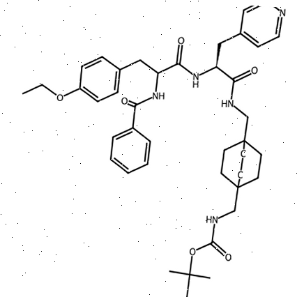 CCOc1ccc(CC(NC(=O)c2ccccc2)C(=O)N[C@@H](Cc2ccncc2)C(=O)NCC23CCC(CNC(=O)OC(C)(C)C)(CC2)CC3)cc1